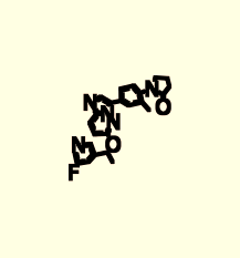 Cc1cc(-c2cnc3ccc(OC(C)c4cncc(F)c4)nn23)ccc1N1CCCC1=O